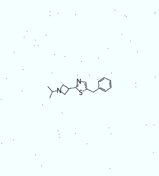 CC(C)N1CC(c2ncc(Cc3ccccc3)s2)C1